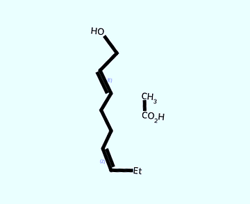 CC(=O)O.CC/C=C\CC/C=C/CO